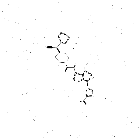 COc1cnc(-n2cnc(C(C)=O)n2)c2[nH]cc(C(=O)C(=O)N3CCC(=C(C#N)c4ccccc4)CC3)c12